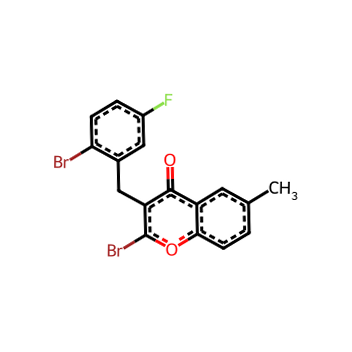 Cc1ccc2oc(Br)c(Cc3cc(F)ccc3Br)c(=O)c2c1